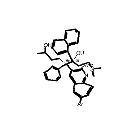 COc1nc2ccc(Br)cc2cc1[C@@](CCC(C)O)(c1ccccc1)[C@](O)(CCN(C)C)c1cccc2ccccc12